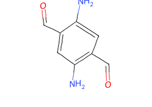 Nc1cc(C=O)c(N)cc1C=O